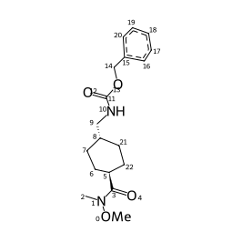 CON(C)C(=O)[C@H]1CC[C@H](CNC(=O)OCc2ccccc2)CC1